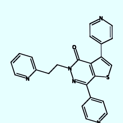 O=c1c2c(-c3ccncc3)csc2c(-c2ccncc2)nn1CCc1ccccn1